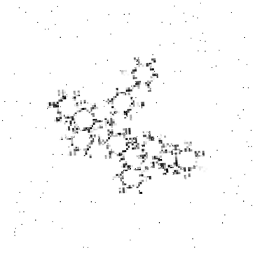 c1ccc(-c2ccc(N(c3ccc(-c4ccccc4-c4cccc5c4sc4ccccc45)cc3)c3cc4ccccc4c4ccccc34)cc2)cc1